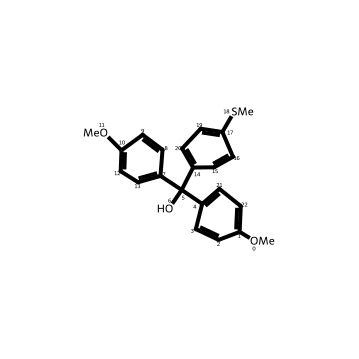 COc1ccc(C(O)(c2ccc(OC)cc2)c2ccc(SC)cc2)cc1